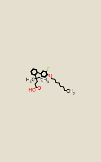 CCCCCCCCOc1ccc(-c2ccccc2C(C)(CC)CCC(=O)O)cc1F